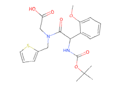 COc1ccccc1C(NC(=O)OC(C)(C)C)C(=O)N(CC(=O)O)Cc1cccs1